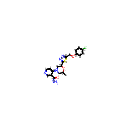 CC1CN(c2ccncc2C(N)=O)CC(c2nnc(COc3ccc(Cl)cc3)s2)O1